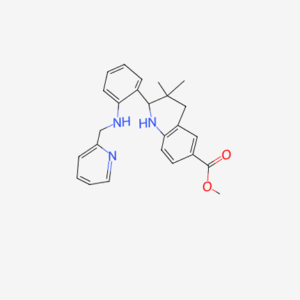 COC(=O)c1ccc2c(c1)CC(C)(C)C(c1ccccc1NCc1ccccn1)N2